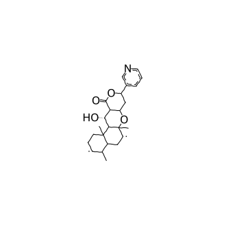 CC1[CH]CCC2(C)C1C[CH]C1(C)OC3CC(c4cccnc4)OC(=O)C3[C@@H](O)C12